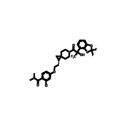 CN(C)C(=O)c1ccc(OCC[C@@H]2CC23CCN(C(=O)C(O)(c2cccc4c2OC(F)(F)O4)C(F)(F)F)CC3)cc1Cl